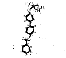 CCC(C)(C)Oc1ccc(-c2ccc(OC(=O)c3ccccc3)cc2)cc1